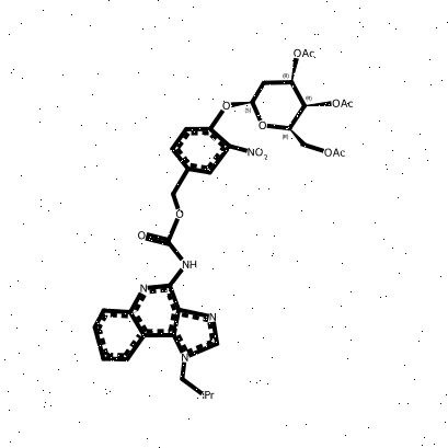 CC(=O)OC[C@H]1O[C@@H](Oc2ccc(COC(=O)Nc3nc4ccccc4c4c3ncn4CC(C)C)cc2[N+](=O)[O-])C[C@@H](OC(C)=O)[C@H]1OC(C)=O